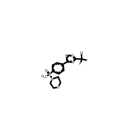 CP(=O)(c1ccc(-c2noc(C(F)(F)Cl)n2)cc1)N1CCOCC1